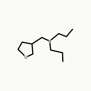 CCCN(CCC)CC1CCOC1